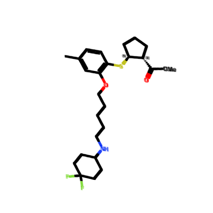 COC(=O)[C@H]1CCC[C@@H]1Sc1ccc(C)cc1OCCCCCNC1CCC(F)(F)CC1